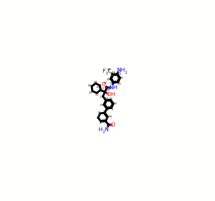 NC(=O)C1=CCCC(c2cccc(CC(O)(C(=O)Nc3ccc(N)c(C(F)(F)F)c3)C3CCCCC3)c2)=C1